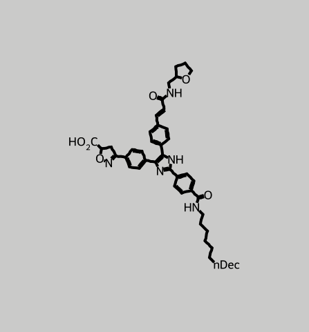 CCCCCCCCCCCCCCCCNC(=O)c1ccc(-c2nc(-c3ccc(C4=NOC(C(=O)O)C4)cc3)c(-c3ccc(C=CC(=O)NCC4CCCO4)cc3)[nH]2)cc1